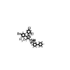 CCc1c(CNS(=O)(=O)c2cccc(-c3ccccc3)c2)nn(-c2ccc(Cl)cc2Cl)c1-c1ccc(Br)cc1